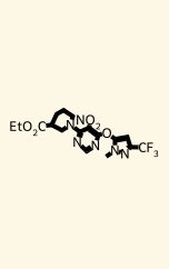 CCOC(=O)C1CCCN(c2ncnc(Oc3cc(C(F)(F)F)nn3C)c2[N+](=O)[O-])C1